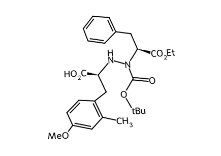 CCOC(=O)[C@H](Cc1ccccc1)N(N[C@@H](Cc1ccc(OC)cc1C)C(=O)O)C(=O)OC(C)(C)C